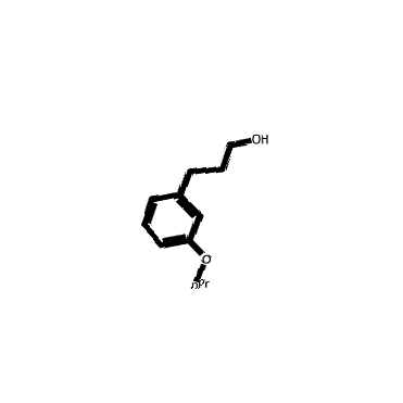 CCCOc1cccc(CCCO)c1